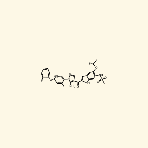 CC1=CC(Oc2ccccc2F)NC=C1n1ncc(C(=O)c2cc3cc(OC(F)F)c(NS(C)(=O)=O)cc3[nH]2)c1N